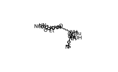 CCc1cc2c(cc1N1CCC(N3CCN(C(=O)CCCCCCCCC(=O)N[C@H](C(=O)N4C[C@H](O)C[C@H]4C(=O)NCc4ccc(-c5scnc5C)cc4)C(C)(C)C)CC3)CC1)C(C)(C)c1[nH]c3cc(C#N)ccc3c1C2=O